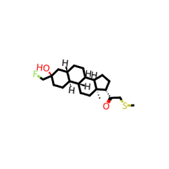 CSCC(=O)[C@H]1CC[C@H]2[C@@H]3CC[C@H]4C[C@@](O)(CF)CC[C@@H]4[C@H]3CC[C@]12C